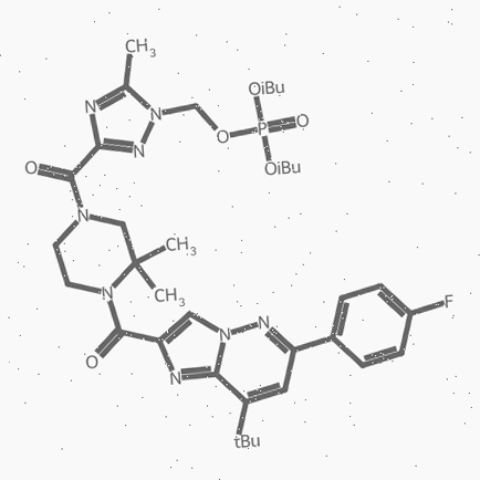 Cc1nc(C(=O)N2CCN(C(=O)c3cn4nc(-c5ccc(F)cc5)cc(C(C)(C)C)c4n3)C(C)(C)C2)nn1COP(=O)(OCC(C)C)OCC(C)C